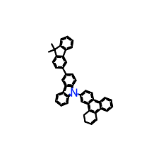 CC1(C)c2ccccc2-c2cc(-c3ccc4c(c3)c3ccccc3n4-c3ccc4c(c3)c3c(c5ccccc54)C=CCC3)ccc21